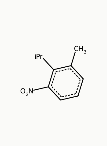 Cc1cccc([N+](=O)[O-])c1C(C)C